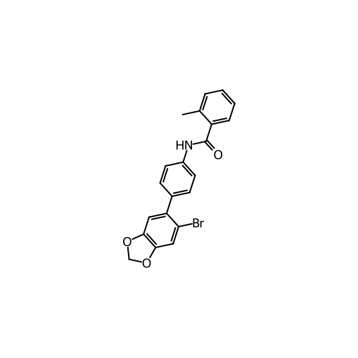 Cc1ccccc1C(=O)Nc1ccc(-c2cc3c(cc2Br)OCO3)cc1